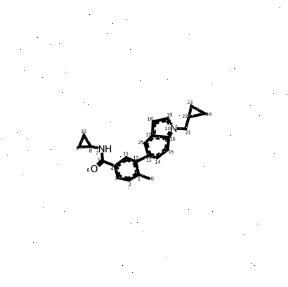 Cc1ccc(C(=O)NC2CC2)cc1-c1ccc2c(ccn2CC2CC2)c1